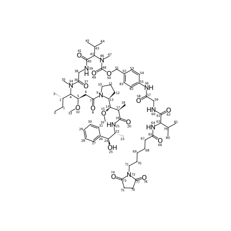 CC[C@H](C)C([C@@H](CC(=O)N1CCC[C@H]1[C@H](OC)[C@@H](C)C(=O)N[C@H](C)[C@@H](O)c1ccccc1)OC)N(C)C(=O)CNC(=O)C(C(C)C)N(C)C(=O)OCc1ccc(NC(=O)CNC(=O)C(NC(=O)CCCCCN2C(=O)CCC2=O)C(C)C)cc1